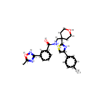 Cc1nc(-c2cccc(C(=O)NCC3(c4nc(-c5ccc(C(F)(F)F)cc5)cs4)CCOCC3)c2)no1